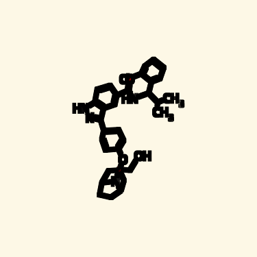 CC(C)C(NC(=O)c1ccc2[nH]nc(-c3ccc(OC4CC5CCC(C4)N5CCO)cc3)c2c1)c1ccccc1Cl